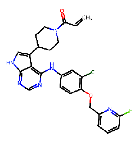 C=CC(=O)N1CCC(c2c[nH]c3ncnc(Nc4ccc(OCc5cccc(F)n5)c(Cl)c4)c23)CC1